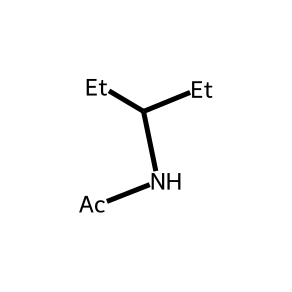 [CH2]CC(CC)NC(C)=O